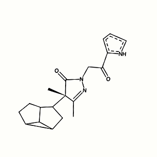 CC1=NN(CC(=O)c2ccc[nH]2)C(=O)[C@@]1(C)C1CC2C3CCC1C32